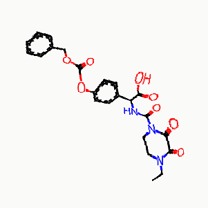 CCN1CCN(C(=O)NC(C(=O)O)c2ccc(OC(=O)OCc3ccccc3)cc2)C(=O)C1=O